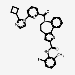 Cc1cccc(F)c1NC(=O)c1cc2c(s1)-c1ccccc1N(C(=O)c1cccc(-n3ccnc3C3CCC3)n1)CC2